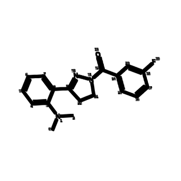 CN(C)c1ccccc1C1=NN(C(=O)c2cccc(F)c2)CC1